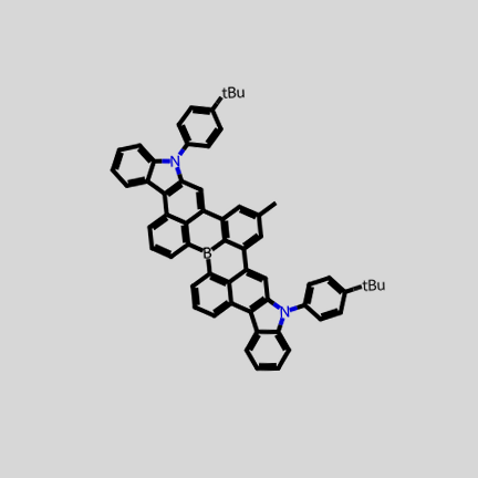 Cc1cc2c3c(c1)-c1cc4c(c5cccc(c15)B3c1cccc3c1c-2cc1c3c2ccccc2n1-c1ccc(C(C)(C)C)cc1)c1ccccc1n4-c1ccc(C(C)(C)C)cc1